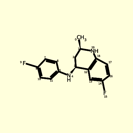 C[C@@H]1C[C@H](Nc2ccc(F)cc2)c2cc(F)ccc2N1